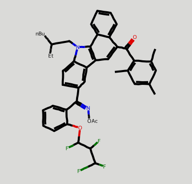 CCCCC(CC)Cn1c2ccc(C(=NOC(C)=O)c3ccccc3OC(F)C(F)C(F)F)cc2c2cc(C(=O)c3c(C)cc(C)cc3C)c3ccccc3c21